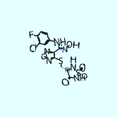 O=C1NS(=O)(=O)N[C@H]1CSc1nonc1/C(=N/O)Nc1ccc(F)c(Cl)c1